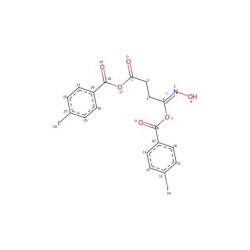 O=C(CC/C(=N/O)OC(=O)c1ccc(I)cc1)OC(=O)c1ccc(I)cc1